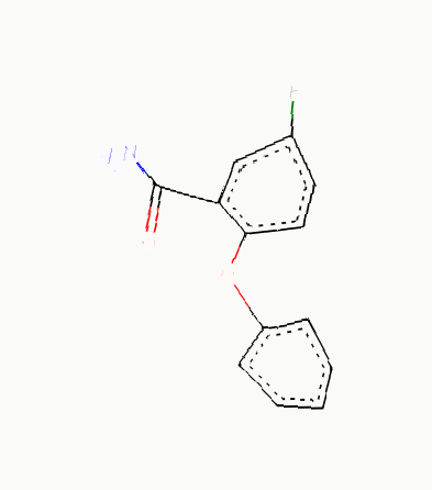 NC(=O)c1cc(F)ccc1Oc1ccccc1